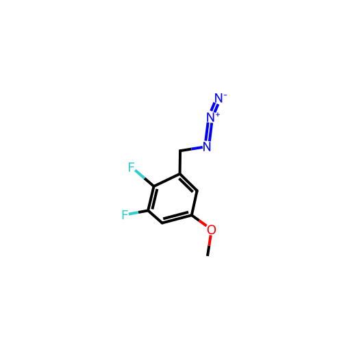 COc1cc(F)c(F)c(CN=[N+]=[N-])c1